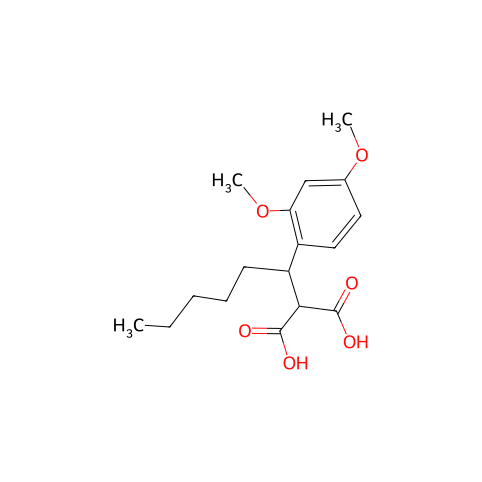 CCCCCC(c1ccc(OC)cc1OC)C(C(=O)O)C(=O)O